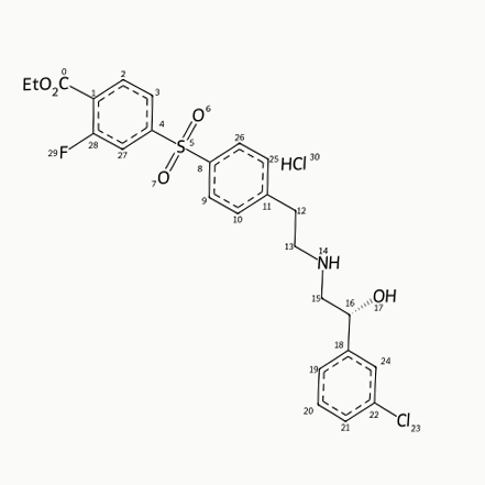 CCOC(=O)c1ccc(S(=O)(=O)c2ccc(CCNC[C@H](O)c3cccc(Cl)c3)cc2)cc1F.Cl